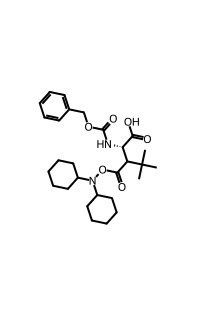 CC(C)(C)C(C(=O)ON(C1CCCCC1)C1CCCCC1)[C@H](NC(=O)OCc1ccccc1)C(=O)O